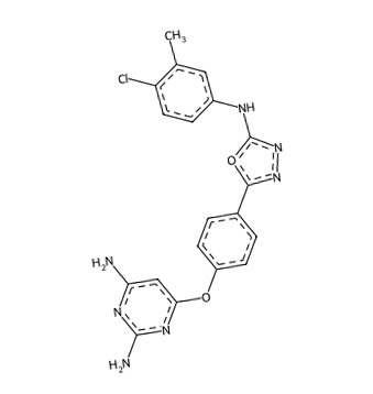 Cc1cc(Nc2nnc(-c3ccc(Oc4cc(N)nc(N)n4)cc3)o2)ccc1Cl